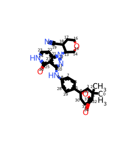 CC1(C)CC2(c3ccc(Nc4nn(C5COCCC5C#N)c5cc[nH]c(=O)c45)cc3)CCC1C(=O)O2